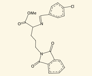 COC(=O)C(CCCN1C(=O)c2ccccc2C1=O)N=Cc1ccc(Cl)cc1